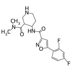 CN(C)C(=O)C1CNCCC1NC(=O)c1cc(-c2ccc(F)cc2F)on1